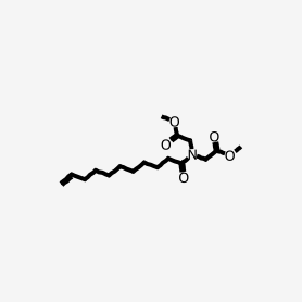 C=CCCCCCCCCC(=O)N(CC(=O)OC)CC(=O)OC